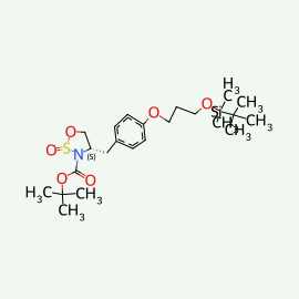 CC(C)(C)OC(=O)N1[C@@H](Cc2ccc(OCCCO[Si](C)(C)C(C)(C)C)cc2)COS1=O